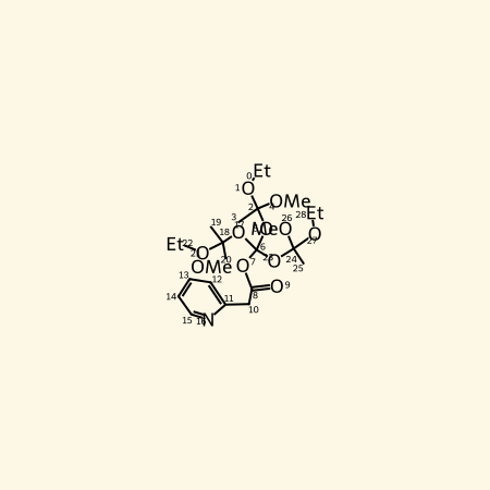 CCOC(C)(OC)OC(OC(=O)Cc1ccccn1)(OC(C)(OC)OCC)OC(C)(OC)OCC